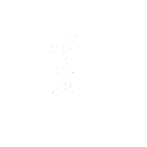 c1ccc(-c2nc(-c3ccccc3)nc(-c3cccc4c3oc3cccc(-c5cccc(-c6nc(-c7ccccc7)c7oc8ccccc8c7n6)c5)c34)n2)cc1